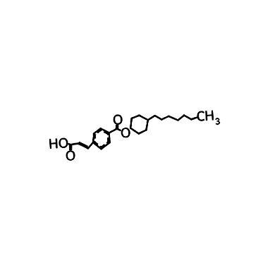 CCCCCCCC1CCC(OC(=O)c2ccc(/C=C/C(=O)O)cc2)CC1